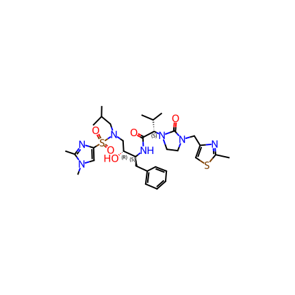 Cc1nc(CN2CCN([C@H](C(=O)N[C@@H](Cc3ccccc3)[C@H](O)CN(CC(C)C)S(=O)(=O)c3cn(C)c(C)n3)C(C)C)C2=O)cs1